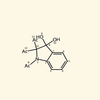 CC(=O)N1c2ccccc2C(O)(O)C1(C(C)=O)C(C)=O